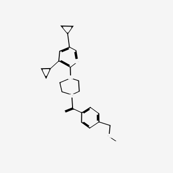 CCOC(=O)NCc1ccc(C(=O)N2CCN(c3ncc(C4CC4)cc3C3CC3)CC2)cc1